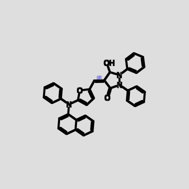 O=C1/C(=C\c2ccc(N(c3ccccc3)c3cccc4ccccc34)o2)C(O)N(c2ccccc2)N1c1ccccc1